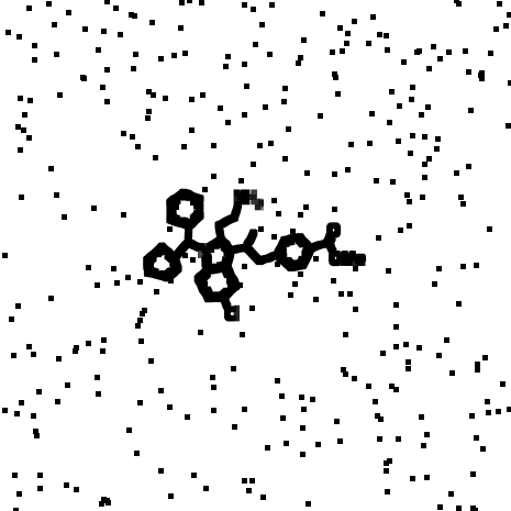 COC(=O)c1ccc(CC(C)c2c(CCN)n(C(c3ccccc3)c3ccccc3)c3ccc(Cl)cc23)cc1